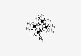 C[C](C)(C)[Al+][C](C)(C)C.C[C](C)(C)[Al+][C](C)(C)C.[O-2]